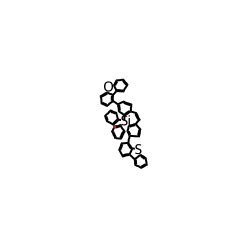 C1=Cc2ccc(-c3cccc4oc5ccccc5c34)cc2[Si](c2ccccc2)(c2ccccc2)c2cc(-c3cccc4c3sc3ccccc34)ccc21